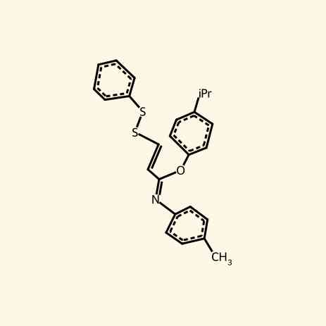 Cc1ccc(/N=C(/C=C/SSc2ccccc2)Oc2ccc(C(C)C)cc2)cc1